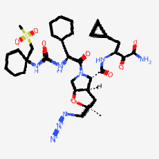 C[C@@]1(CN=[N+]=[N-])C[C@H]2C(CN(C(=O)[C@@H](NC(=O)NC3(CS(C)(=O)=O)CCCCC3)C3CCCCC3)[C@@H]2C(=O)NC(CC2CC2)C(=O)C(N)=O)O1